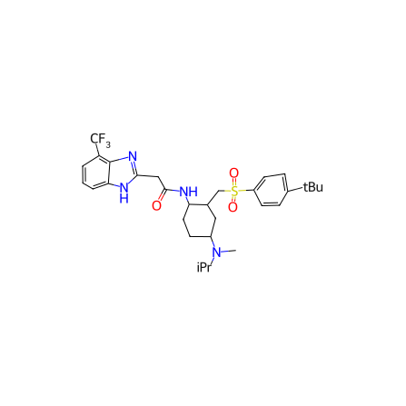 CC(C)N(C)C1CCC(NC(=O)Cc2nc3c(C(F)(F)F)cccc3[nH]2)C(CS(=O)(=O)c2ccc(C(C)(C)C)cc2)C1